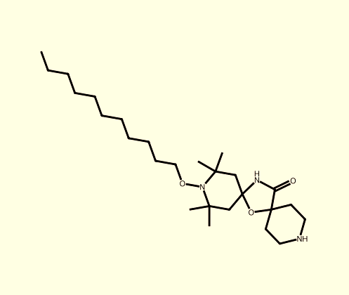 CCCCCCCCCCCON1C(C)(C)CC2(CC1(C)C)NC(=O)C1(CCNCC1)O2